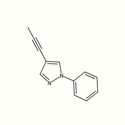 [CH2]C#Cc1cnn(-c2ccccc2)c1